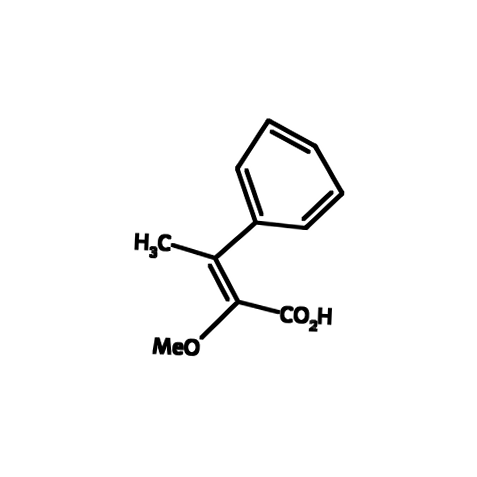 COC(C(=O)O)=C(C)c1ccccc1